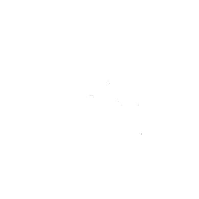 CC(=O)N1CCC[C@@H]1c1nc(Br)c2cnc3c(ccn3S(=O)(=O)c3ccc(C)cc3)n12